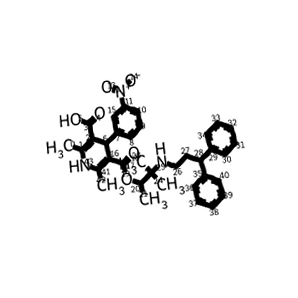 CC1=C(C(=O)O)C(c2cccc([N+](=O)[O-])c2)C(C(=O)OC(C)C(C)(C)NCCC(c2ccccc2)c2ccccc2)=C(C)N1